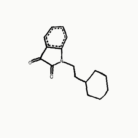 O=C1C(=O)N(CCC2CCCCC2)c2ccccc21